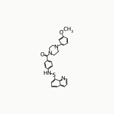 COc1cccc(N2CCN(C(=O)c3ccc(NSc4cccc5cccnc45)cc3)CC2)c1